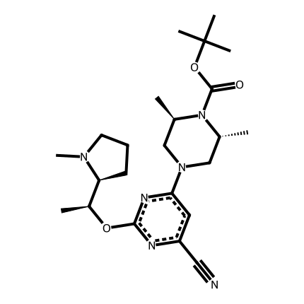 C[C@H](Oc1nc(C#N)cc(N2C[C@@H](C)N(C(=O)OC(C)(C)C)[C@H](C)C2)n1)[C@@H]1CCCN1C